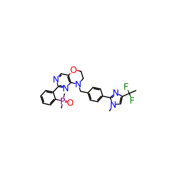 Cn1cc(C(C)(F)F)nc1-c1ccc(CN2CCOc3cnc(-c4ccccc4P(C)(C)=O)nc32)cc1